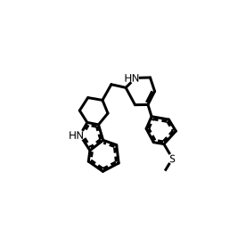 CSc1ccc(C2=CCNC(CC3CCc4[nH]c5ccccc5c4C3)C2)cc1